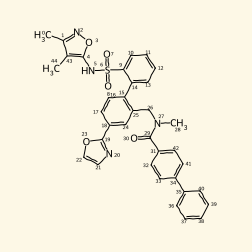 Cc1noc(NS(=O)(=O)c2ccccc2-c2ccc(-c3ncco3)cc2CN(C)C(=O)c2ccc(-c3ccccc3)cc2)c1C